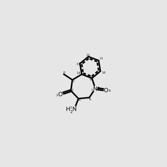 CC1C(=O)C(N)C[N+](=O)c2ccccc21